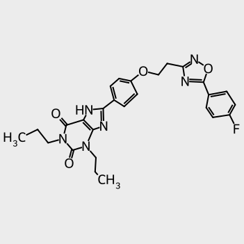 CCCn1c(=O)c2[nH]c(-c3ccc(OCCc4noc(-c5ccc(F)cc5)n4)cc3)nc2n(CCC)c1=O